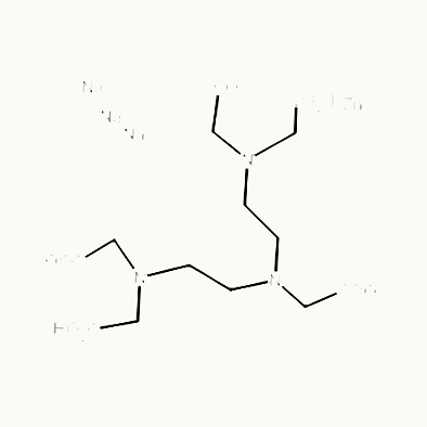 O=C([O-])CN(CCN(CC(=O)[O-])CC(=O)O)CCN(CC(=O)[O-])CC(=O)O.[Na+].[Na+].[Na+].[Zn]